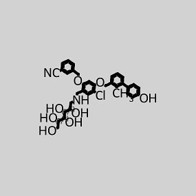 Cc1c(COc2cc(OCc3cccc(C#N)c3)c(CNC[C@H](O)[C@@H](O)[C@H](O)[C@H](O)CO)cc2Cl)cccc1-c1ccc(O)cc1